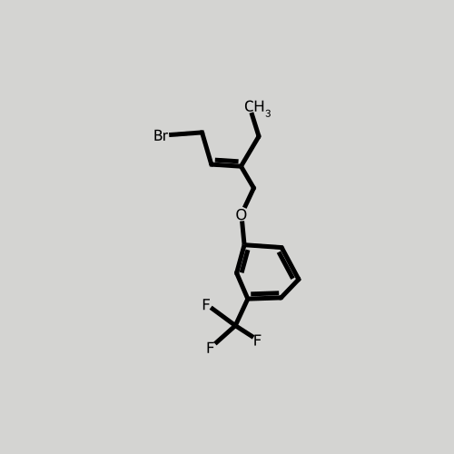 CCC(=CCBr)COc1cccc(C(F)(F)F)c1